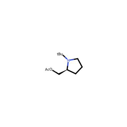 CC(=O)OC[C@@H]1CCCN1C(C)(C)C